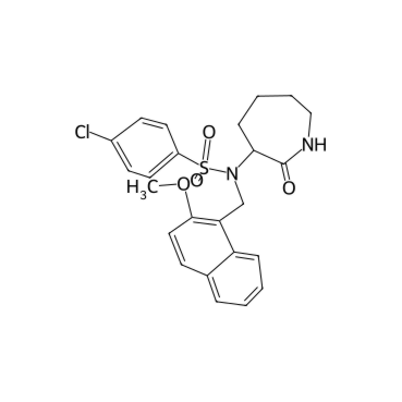 COc1ccc2ccccc2c1CN(C1CCCCNC1=O)S(=O)(=O)c1ccc(Cl)cc1